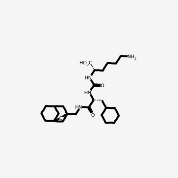 NCCCC[C@H](NC(=O)N[C@H](CC1CCCCC1)C(=O)NCC12CC3CCCC(C3)(C1)C2)C(=O)O